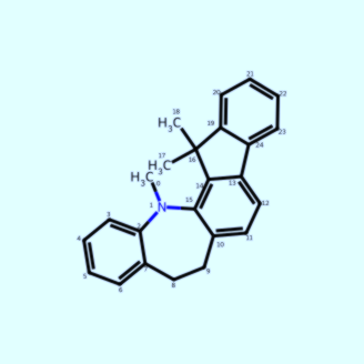 CN1c2ccccc2CCc2ccc3c(c21)C(C)(C)c1ccccc1-3